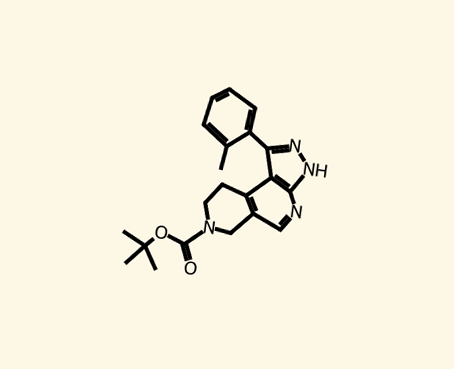 Cc1ccccc1-c1n[nH]c2ncc3c(c12)CCN(C(=O)OC(C)(C)C)C3